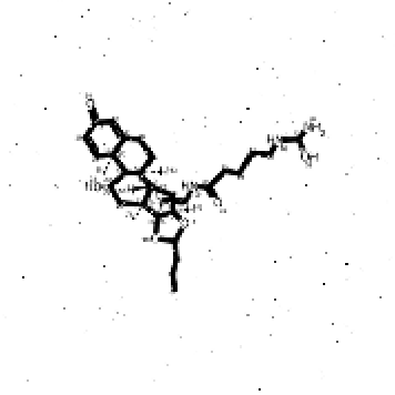 CCCC1O[C@@H]2C[C@H]3[C@@H]4CCC5=CC(=O)C=C[C@]5(C)C4[C@@H](O)C[C@]3(C)[C@]2(C(=O)CNC(=O)CCCCNC(N)O)O1